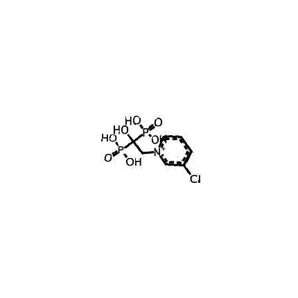 O=P(O)(O)C(O)(C[n+]1cccc(Cl)c1)P(=O)(O)O